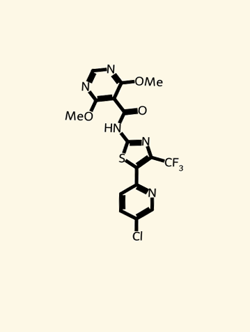 COc1ncnc(OC)c1C(=O)Nc1nc(C(F)(F)F)c(-c2ccc(Cl)cn2)s1